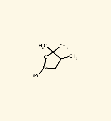 CC(C)B1CC(C)C(C)(C)O1